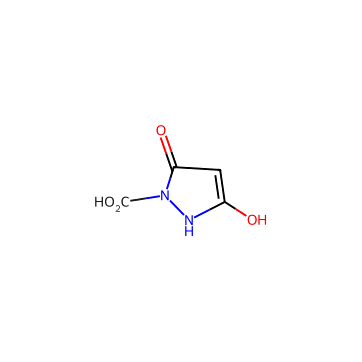 O=C(O)n1[nH]c(O)cc1=O